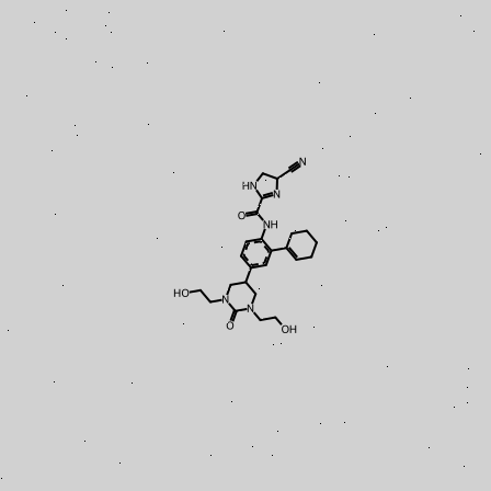 N#CC1CNC(C(=O)Nc2ccc(C3CN(CCO)C(=O)N(CCO)C3)cc2C2=CCCCC2)=N1